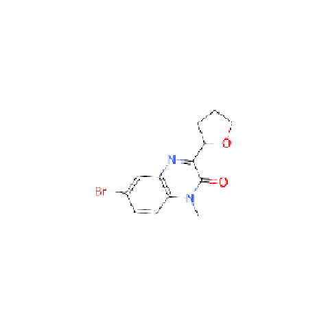 Cn1c(=O)c(C2CCCO2)nc2cc(Br)ccc21